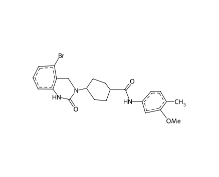 COc1cc(NC(=O)C2CCC(N3Cc4c(Br)cccc4NC3=O)CC2)ccc1C